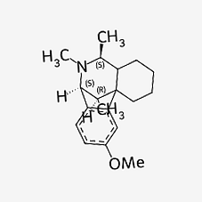 COc1ccc2c(c1)C13CCCCC1[C@H](C)N(C)[C@H]2[C@@H]3C